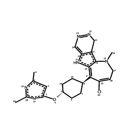 Cc1cc(O[C@H]2CC[C@H](C3=c4[nH]c5c(c4N(C)CC=C3Cl)CN=NC=5)CC2)nc(C)n1